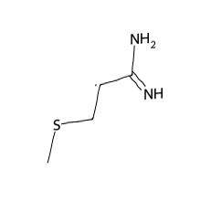 CSC[CH]C(=N)N